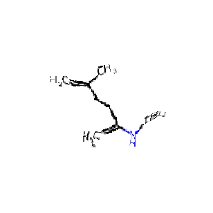 C=C(C)CCC(=C)NC(C)(C)C